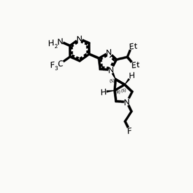 CCC(CC)c1nc(-c2cnc(N)c(C(F)(F)F)c2)cn1[C@H]1[C@@H]2CN(CCF)C[C@@H]21